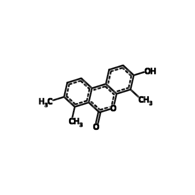 Cc1ccc2c(c1C)c(=O)oc1c(C)c(O)ccc12